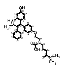 CCC(=C(c1ccc(OCCN(CC=CC(=O)N(C)C)C(=O)O)cc1)c1ccc(O)cc1C)c1ccccc1